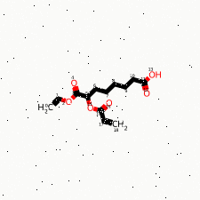 C=COC(=O)C(CCCCCC(=O)O)OC(=O)C=C